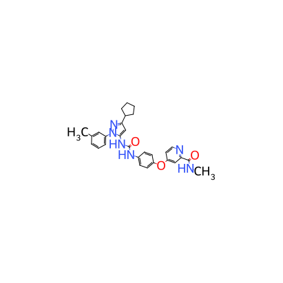 CNC(=O)c1cc(Oc2ccc(NC(=O)Nc3cc(C4CCCC4)nn3-c3cccc(C)c3)cc2)ccn1